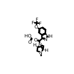 CN1C[C@@H]2C[C@H]1CN2C(=O)c1n[nH]c2ccc(OC(F)(F)F)cc12.O=CO